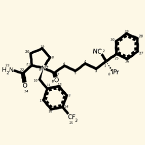 CC(C)[C@@](C#N)(CCCCC(=O)[N@@+]1(Cc2ccc(C(F)(F)F)cc2)CCCC1C(N)=O)c1ccccc1